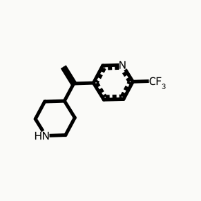 C=C(c1ccc(C(F)(F)F)nc1)C1CCNCC1